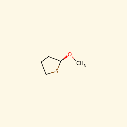 CO[C@@H]1CCCS1